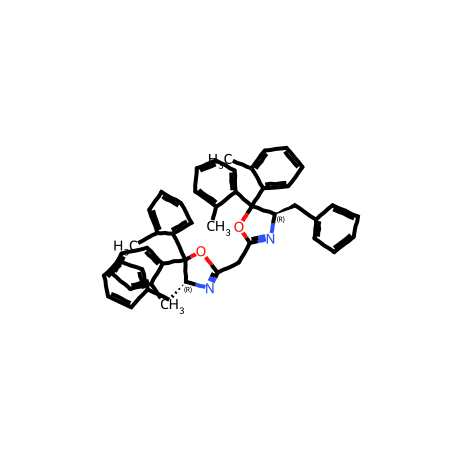 Cc1ccccc1C1(c2ccccc2C)OC(CC2=N[C@H](Cc3ccccc3)C(c3ccccc3C)(c3ccccc3C)O2)=N[C@@H]1Cc1ccccc1